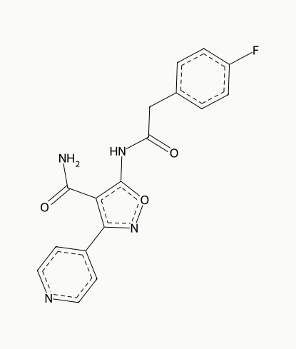 NC(=O)c1c(-c2ccncc2)noc1NC(=O)Cc1ccc(F)cc1